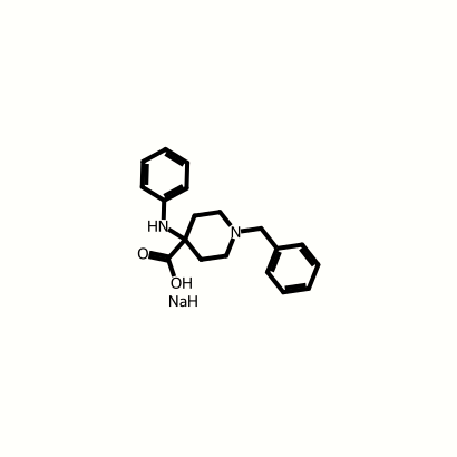 O=C(O)C1(Nc2ccccc2)CCN(Cc2ccccc2)CC1.[NaH]